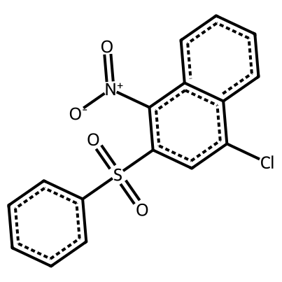 O=[N+]([O-])c1c(S(=O)(=O)c2ccccc2)cc(Cl)c2ccccc12